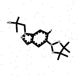 CC(C)(O)Cn1ncc2cc(B3OC(C)(C)C(C)(C)O3)c(F)cc21